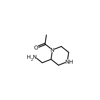 CC(=O)N1CCNCC1CN